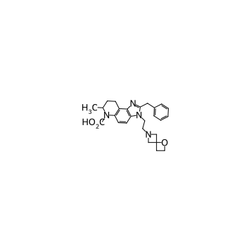 CC1CCc2c(ccc3c2nc(Cc2ccccc2)n3CCN2CC3(CCO3)C2)N1C(=O)O